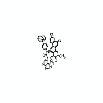 CC1C=c2c(ccc3c2=CC(=O)c2cc(Cl)ccc2-3)C(C)C1=O.O=C(Cn1cnc2ncncc21)Nc1ccc(C23CC4CC(CC(C4)C2)C3)cc1